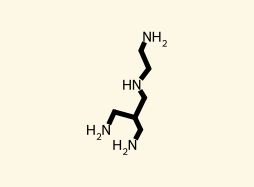 NCCNCC(CN)CN